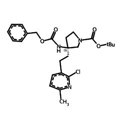 Cc1ccc(CC[C@]2(NC(=O)OCc3ccccc3)CCN(C(=O)OC(C)(C)C)C2)c(Cl)n1